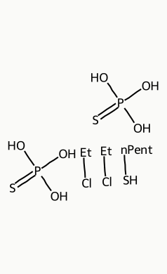 CCCCCS.CCCl.CCCl.OP(O)(O)=S.OP(O)(O)=S